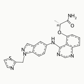 C[C@@H](Oc1cccc2ncnc(Nc3ccc4c(cnn4Cc4nccs4)c3)c12)C(N)=O